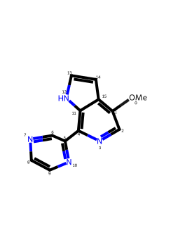 COc1cnc(-c2cnccn2)c2[nH]ccc12